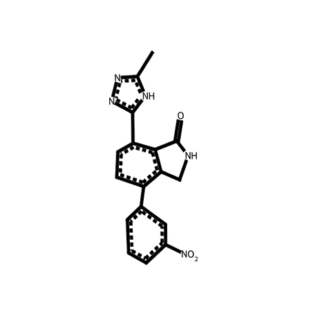 Cc1nnc(-c2ccc(-c3cccc([N+](=O)[O-])c3)c3c2C(=O)NC3)[nH]1